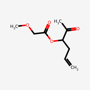 C=CCC(OC(=O)COC)C(C)=O